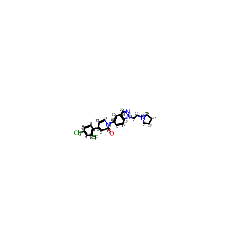 O=c1cc(-c2ccc(Cl)cc2F)ccn1-c1ccc2c(cnn2CCN2CCCC2)c1